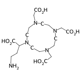 NCCC(C(=O)O)N1CCN(CC(=O)O)CCN(CC(=O)O)CCN(CC(=O)O)CC1